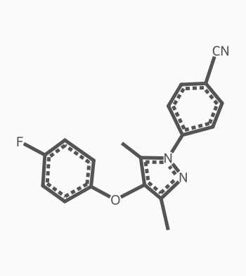 Cc1nn(-c2ccc(C#N)cc2)c(C)c1Oc1ccc(F)cc1